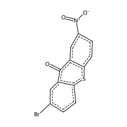 O=c1c2cc(Br)ccc2sc2ccc([N+](=O)[O-])cc12